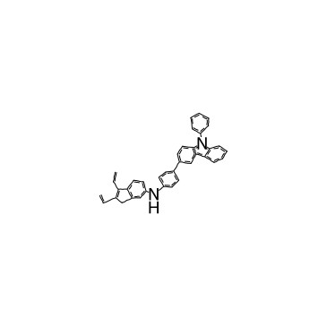 C=CC1=C(C=C)c2ccc(Nc3ccc(-c4ccc5c(c4)c4ccccc4n5-c4ccccc4)cc3)cc2C1